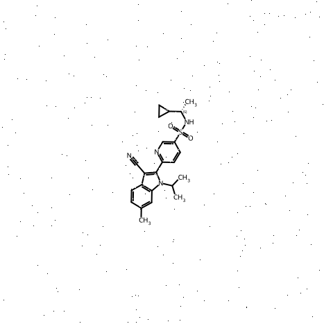 Cc1ccc2c(C#N)c(-c3ccc(S(=O)(=O)N[C@@H](C)C4CC4)cn3)n(C(C)C)c2c1